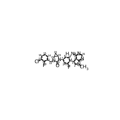 Cn1cc(-c2ccc(N3C(=O)N(Cc4cccc(Cl)c4F)C4CC43)cc2F)c2c(N)ncnc21